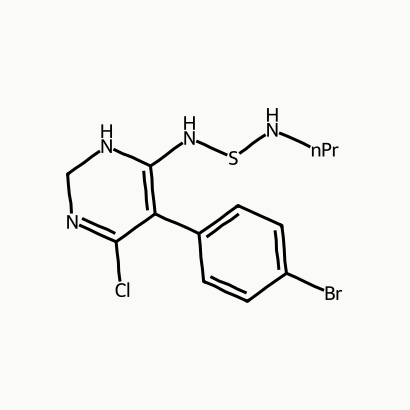 CCCNSNC1=C(c2ccc(Br)cc2)C(Cl)=NCN1